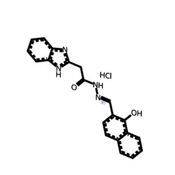 Cl.O=C(Cc1nc2ccccc2[nH]1)N/N=C/c1ccc2ccccc2c1O